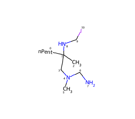 CCCCCC(C)(CN(C)CN)NCI